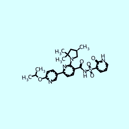 CC(C)Oc1ccc(-c2ccc(C(=O)NS(=O)(=O)c3ccc[nH]c3=O)c(N3C[C@H](C)CC3(C)C)n2)cn1